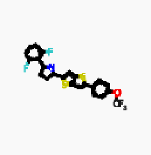 Fc1cccc(F)c1C1=NC(c2cc3sc(-c4ccc(OC(F)(F)F)cc4)cc3s2)CC1